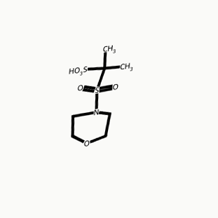 CC(C)(S(=O)(=O)O)S(=O)(=O)N1CCOCC1